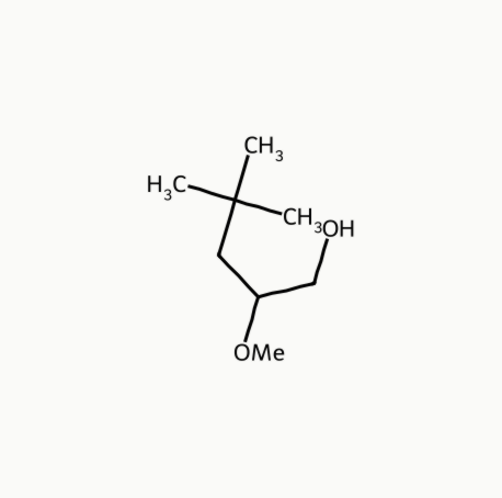 COC(CO)CC(C)(C)C